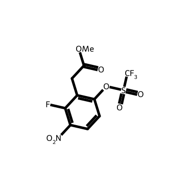 COC(=O)Cc1c(OS(=O)(=O)C(F)(F)F)ccc([N+](=O)[O-])c1F